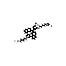 C\C=C/C(=C\C=N\CCCCCC)c1c2c([n+](-c3cc[n+](CCCCCC)cc3)c3c1CCc1ccccc1-3)-c1ccccc1CC2